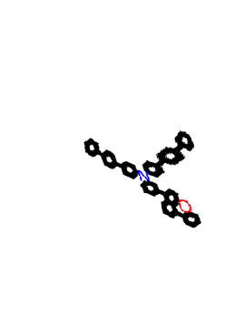 c1ccc(-c2ccc(-c3ccc(N(c4ccc(-c5ccc(-c6ccccc6)cc5)cc4)c4cccc(-c5ccc6c7c(cccc57)-c5ccccc5O6)c4)cc3)cc2)cc1